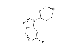 Brc1ccc2ncn(C3CCOCC3)c2c1